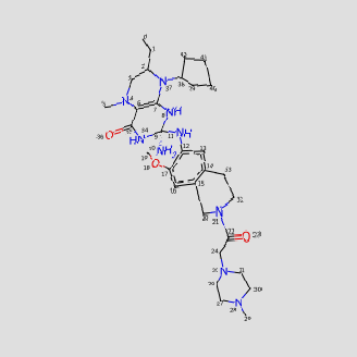 CCC1CN(C)C2=C(N[C@@](N)(Nc3cc4c(cc3OC)CN(C(=O)CN3CCN(C)CC3)CC4)NC2=O)N1C1CCCC1